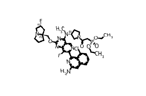 CCOP(=O)(CC(=O)N1CC[C@@H](N(C)c2nc(OC[C@@]34CCCN3C[C@H](F)C4)nc3c(F)c(-c4nc(N)cc5cccc(Cl)c45)ncc23)C1)OCC